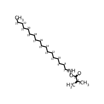 C=C(C)C(=O)ONCCCCCCCCCCCCCCCCCC